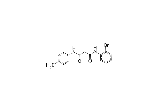 Cc1ccc(NC(=O)CC(=O)Nc2ccccc2Br)cc1